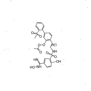 CC(=O)OOc1cc(-c2ccccc2S(C)(=O)=O)ccc1CCNS(=O)(=O)c1cc(C(=N)NO)ccc1O.Cl